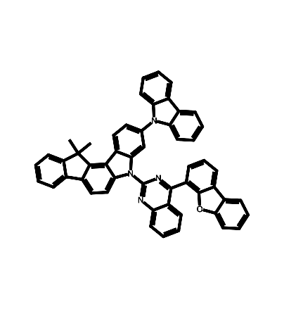 CC1(C)c2ccccc2-c2ccc3c(c21)c1ccc(-n2c4ccccc4c4ccccc42)cc1n3-c1nc(-c2cccc3c2oc2ccccc23)c2ccccc2n1